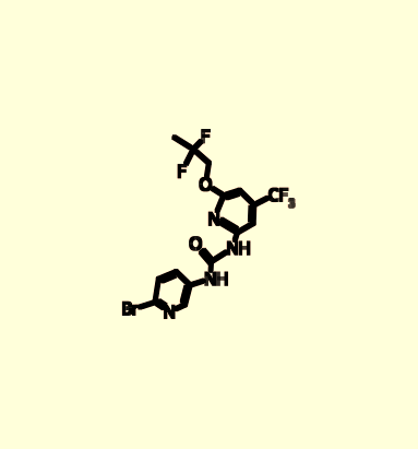 CC(F)(F)COc1cc(C(F)(F)F)cc(NC(=O)Nc2ccc(Br)nc2)n1